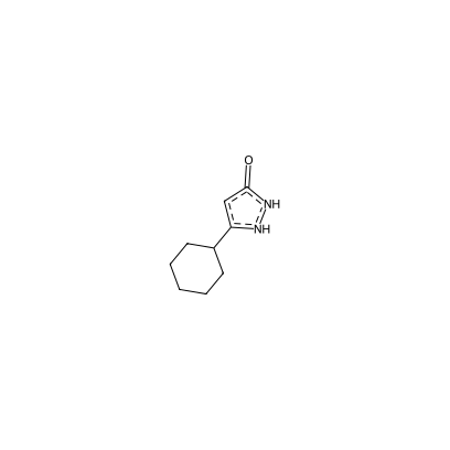 O=c1cc(C2CCCCC2)[nH][nH]1